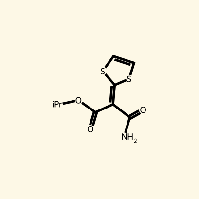 CC(C)OC(=O)C(C(N)=O)=C1SC=CS1